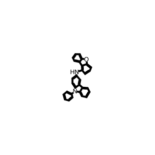 c1ccc(-n2c3ccccc3c3cc(Nc4cccc5oc6ccccc6c45)ccc32)cc1